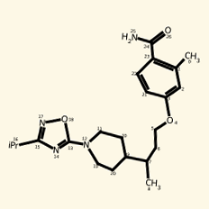 Cc1cc(OCCC(C)C2CCN(c3nc(C(C)C)no3)CC2)ccc1C(N)=O